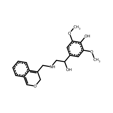 COc1cc(C(O)CNCC2=c3ccccc3=COC2)cc(OC)c1O